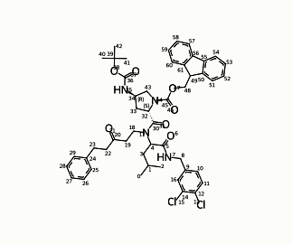 CC(C)CC(C(=O)NCc1ccc(Cl)c(Cl)c1)N(CCC(=O)CCc1ccccc1)C(=O)[C@@H]1C[C@@H](NC(=O)OC(C)(C)C)CN1C(=O)OCC1c2ccccc2-c2ccccc21